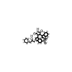 O=C1NC(=O)C(c2cn(CC(O)CN3CCCCC3)c3ccc([N+](=O)[O-])cc23)=C1c1c[nH]c2ccccc12